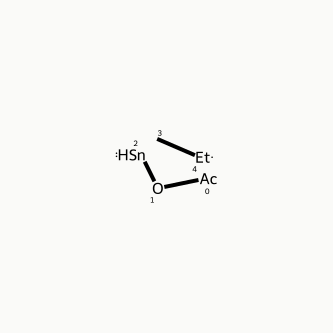 CC(=O)[O][SnH].C[CH]C